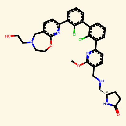 COc1nc(-c2cccc(-c3cccc(-c4ccc5c(n4)OCCN(CCO)C5)c3Cl)c2Cl)ccc1CNC[C@@H]1CCC(=O)N1